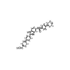 O=C(Nc1ccc2[nH]c(-c3ccc(N4CCN(CO)CC4)cc3)nc2c1)c1ccc(N2CCOCC2)cc1